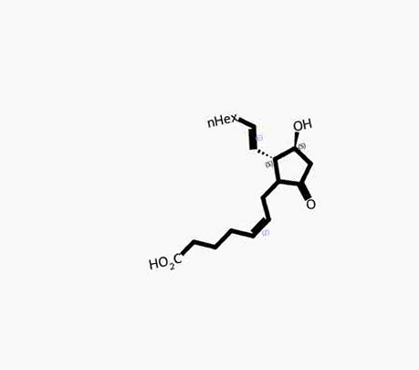 CCCCCC/C=C/[C@H]1C(C/C=C\CCCC(=O)O)C(=O)C[C@@H]1O